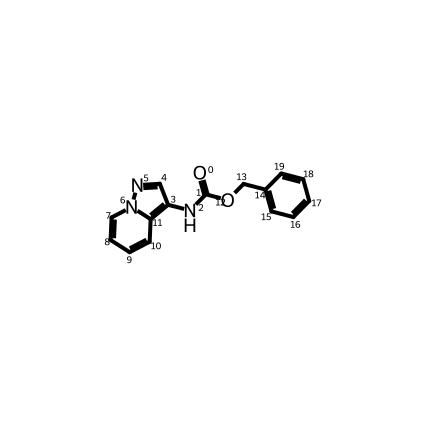 O=C(Nc1cnn2ccccc12)OCc1ccccc1